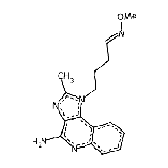 CO/N=C/CCCn1c(C)nc2c(N)nc3ccccc3c21